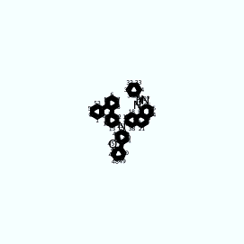 c1ccc(-c2ccccc2-c2cccc(N(c3ccc4c(ccc5ccc6nn(-c7ccccc7)nc6c54)c3)c3ccc4c(c3)oc3ccccc34)c2)cc1